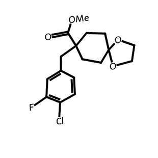 COC(=O)C1(Cc2ccc(Cl)c(F)c2)CCC2(CC1)OCCO2